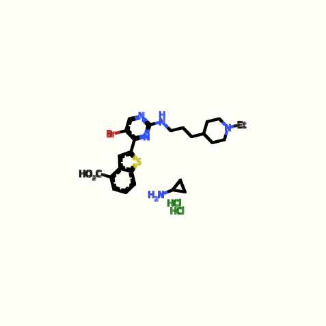 CCN1CCC(CCCNc2ncc(Br)c(-c3cc4c(C(=O)O)cccc4s3)n2)CC1.Cl.Cl.NC1CC1